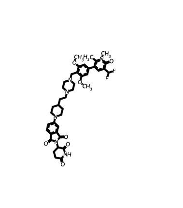 COc1cc(-c2cc(C(F)F)c(=O)n(C)c2C)cc(OC)c1CN1CCN(CCC2CCN(c3ccc4c(c3)C(=O)N(C3CCC(=O)NC3=O)C4=O)CC2)CC1